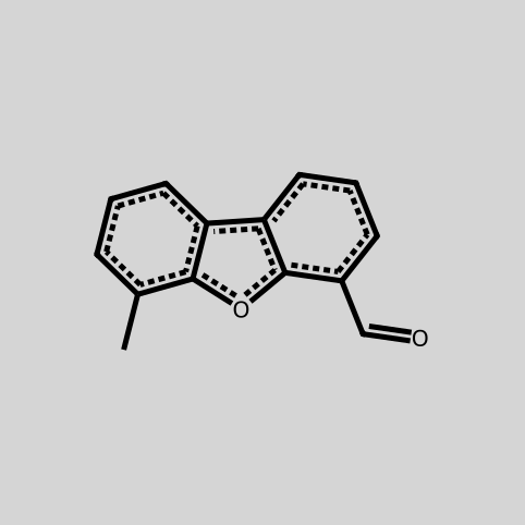 Cc1cccc2c1oc1c(C=O)cccc12